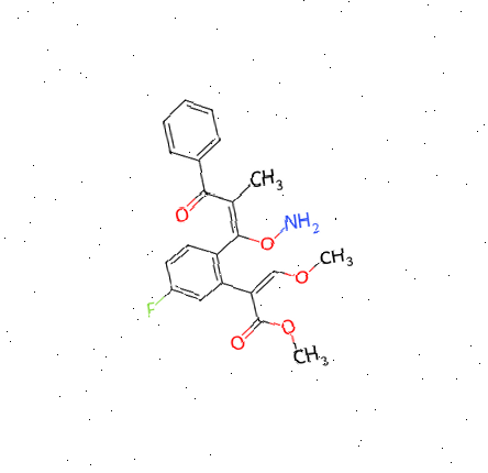 COC=C(C(=O)OC)c1cc(F)ccc1C(ON)=C(C)C(=O)c1ccccc1